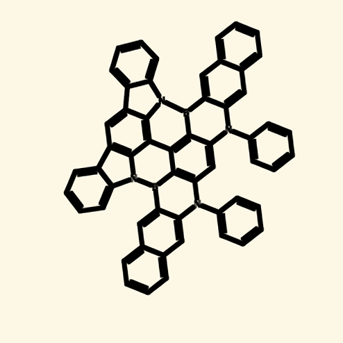 c1ccc(N2c3cc4ccccc4cc3B3c4c2cc2c5c4-c4c6c(cc7c8ccccc8n(c47)B5c4cc5ccccc5cc4N2c2ccccc2)c2ccccc2n63)cc1